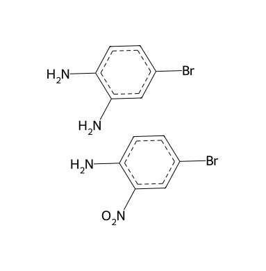 Nc1ccc(Br)cc1N.Nc1ccc(Br)cc1[N+](=O)[O-]